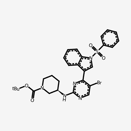 CC(C)(C)OC(=O)N1CCC[C@@H](Nc2ncc(Br)c(-c3cn(S(=O)(=O)c4ccccc4)c4ccccc34)n2)C1